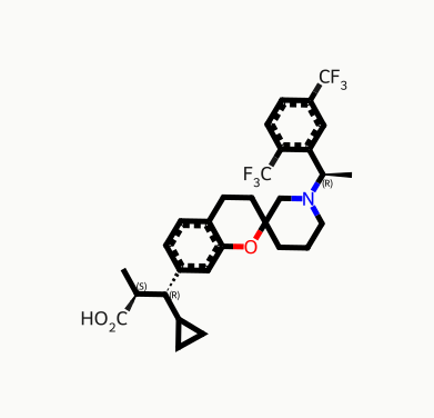 C[C@H](C(=O)O)[C@H](c1ccc2c(c1)OC1(CCCN([C@H](C)c3cc(C(F)(F)F)ccc3C(F)(F)F)C1)CC2)C1CC1